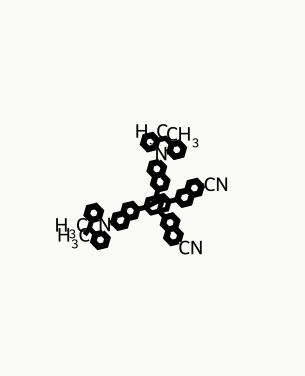 CC1(C)c2ccccc2N(c2ccc3cc(C45CC6(c7ccc8cc(C#N)ccc8c7)CC(c7ccc8cc(C#N)ccc8c7)(C4)CC(c4ccc7cc(N8c9ccccc9C(C)(C)c9ccccc98)ccc7c4)(C6)C5)ccc3c2)c2ccccc21